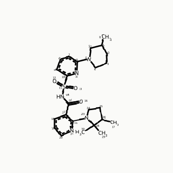 CC1CCCN(c2cccc(S(=O)(=O)NC(=O)c3cccnc3N3CCC(C)C3(C)C)n2)C1